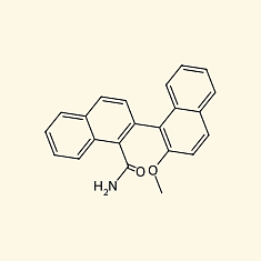 COc1ccc2ccccc2c1-c1ccc2ccccc2c1C(N)=O